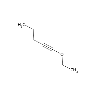 CCCC#COCC